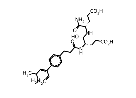 C=C/C(=C\C(C)N)c1ccc(CCC(=O)N[C@@H](CCC(=O)O)[C@H](O)N[C@@H](CCC(=O)O)C(N)=O)cc1